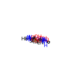 CBNc1ncnc2c1ncn2[C@@H]1O[C@H](CO)[C@@H](NP(=S)(OCCC#N)OC[C@@H]2C[C@@H](O)[C@H](n3cnc4c(NC(=O)c5ccccc5)ncnc43)O2)[C@H]1O[Si](C)(C)C(C)(C)C